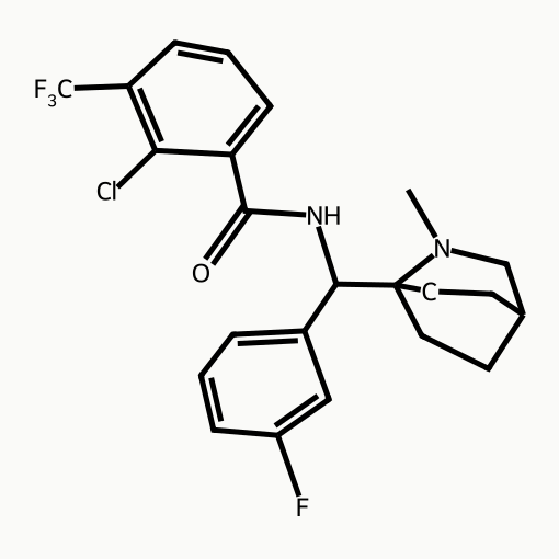 CN1CC2CCC1(C(NC(=O)c1cccc(C(F)(F)F)c1Cl)c1cccc(F)c1)CC2